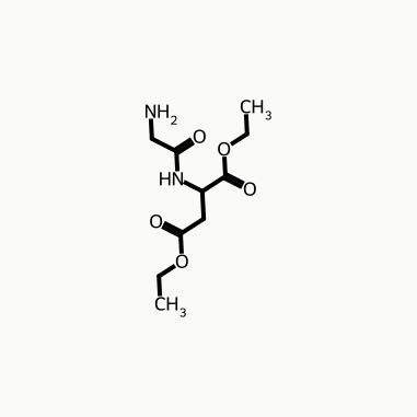 CCOC(=O)CC(NC(=O)CN)C(=O)OCC